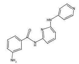 Nc1cccc(C(=O)Nc2cccc(Nc3ccncc3)n2)c1